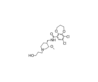 CO[C@@H]1CN(CCCO)CC[C@H]1CNC(=O)c1cc(Cl)c(Cl)c2c1OCCCO2